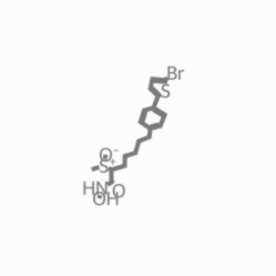 C[S+]([O-])C(CCCCCc1ccc(-c2ccc(Br)s2)cc1)C(=O)NO